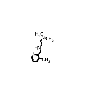 Cc1cccnc1CNCCN(C)C